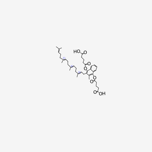 CC(C)=CCC/C(C)=C/CC/C(C)=C/CC/C(C)=C/Cc1c(C)c(OC(=O)CCCC(=O)O)c2ccccc2c1OC(=O)CCCC(=O)O